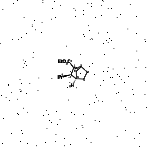 CCOC(=O)C1=C2CC[C@H](C2)[C@H]1C(C)C